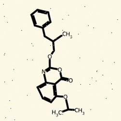 CC(COc1nc2cccc(OC(C)C)c2c(=O)o1)Cc1ccccc1